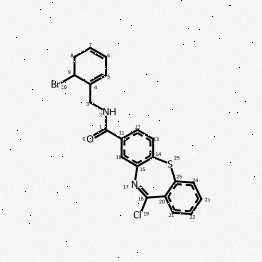 O=C(NCC1=CC=CCC1Br)c1ccc2c(c1)N=C(Cl)c1ccccc1S2